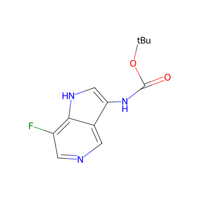 CC(C)(C)OC(=O)Nc1c[nH]c2c(F)cncc12